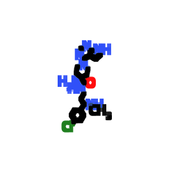 CNC(CCNC(=O)C1(N)CCN(c2ncnc3[nH]ccc23)CC1)c1ccc(Cl)cc1